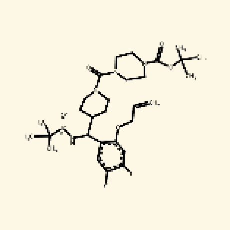 C=CCOc1cc(Cl)c(Cl)cc1C(N[S@@+]([O-])C(C)(C)C)C1CCN(C(=O)N2CCN(C(=O)OC(C)(C)C)CC2)CC1